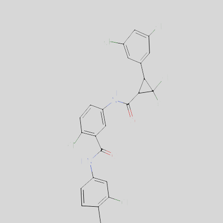 Cc1ccc(NC(=O)c2cc(NC(=O)C3C(c4cc(Cl)cc(Cl)c4)C3(Cl)Cl)ccc2Cl)cc1Cl